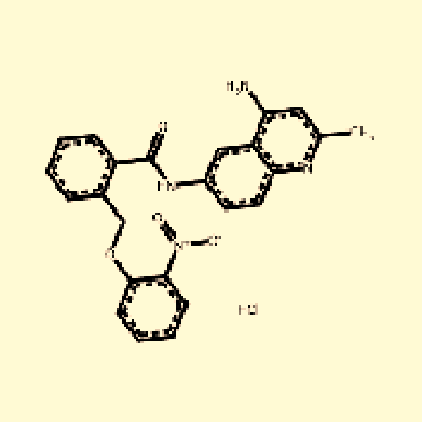 Cc1cc(N)c2cc(NC(=O)c3ccccc3COc3ccccc3[N+](=O)[O-])ccc2n1.Cl